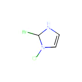 ClN1C=CNC1Br